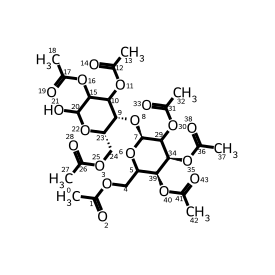 CC(=O)OCC1O[C@@H](O[C@H]2C(OC(C)=O)C(OC(C)=O)C(O)O[C@H]2COC(C)=O)C(OC(C)=O)[C@@H](OC(C)=O)[C@H]1OC(C)=O